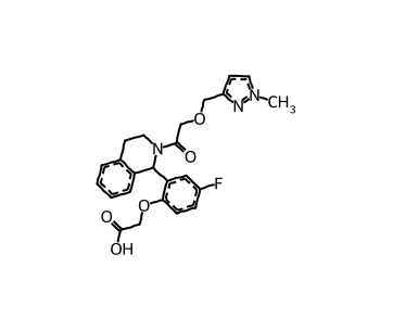 Cn1ccc(COCC(=O)N2CCc3ccccc3C2c2cc(F)ccc2OCC(=O)O)n1